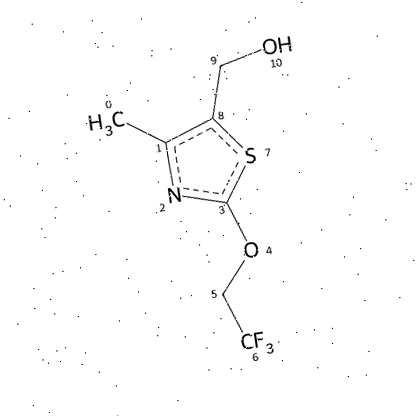 Cc1nc(OCC(F)(F)F)sc1CO